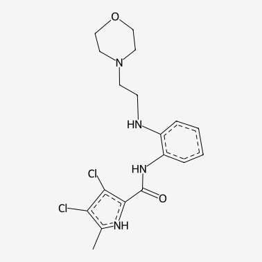 Cc1[nH]c(C(=O)Nc2ccccc2NCCN2CCOCC2)c(Cl)c1Cl